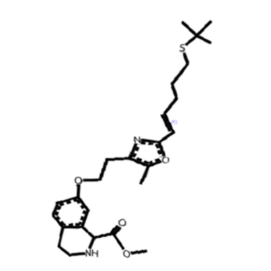 COC(=O)C1NCCc2ccc(OCCc3nc(/C=C/CCCSC(C)(C)C)oc3C)cc21